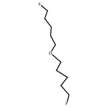 FCCCCCOCCCCCF